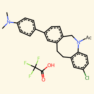 CC(=O)N1Cc2ccc(-c3ccc(N(C)C)cc3)cc2CCc2cc(Cl)ccc21.O=C(O)C(F)(F)F